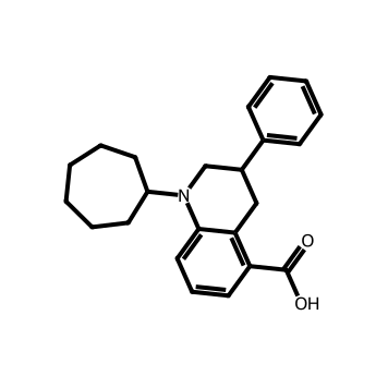 O=C(O)c1cccc2c1CC(c1ccccc1)CN2C1CCCCCC1